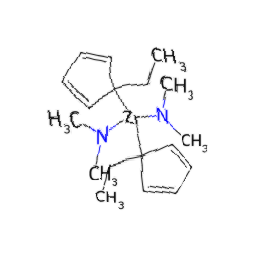 CC[C]1([Zr]([N](C)C)([N](C)C)[C]2(CC)C=CC=C2)C=CC=C1